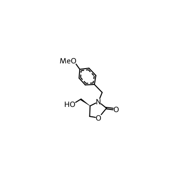 COc1ccc(CN2C(=O)OC[C@H]2CO)cc1